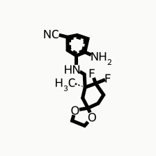 C[C@@]1(CNc2cc(C#N)ccc2N)CC2(CCC1(F)F)OCCO2